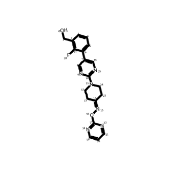 OCc1cccc(-c2cnc(N3CCC(=NOc4ncccn4)CC3)nc2)c1F